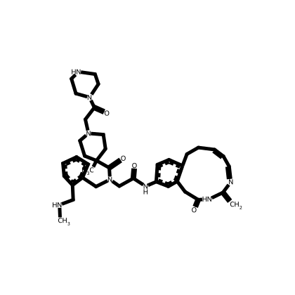 C=C1/N=C\C=C/CCc2ccc(NC(=O)CN(Cc3ccccc3CNC)C(=O)C3(C)CCN(CC(=O)N4CCNCC4)CC3)cc2CC(=O)N1